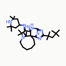 CC(C)(C)CC(C)(C)c1nc2nc(n1)C13CCCCCCN(C(C)(C)C(=NC4CC(C)(C)NC(C)(C)C4)C1([N])N2)C3(C)C